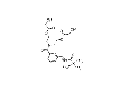 CC(C)(C)C(=O)NCc1cccc(C(=O)N(CCOC(=O)CO)CCOC(=O)CO)c1